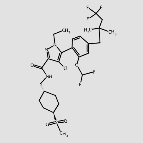 CCn1nc(C(=O)NC[C@H]2CC[C@H](S(C)(=O)=O)CC2)c(Cl)c1-c1ccc(CC(C)(C)CC(F)(F)F)cc1OC(F)F